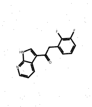 O=C(Cc1cccc(F)c1F)c1c[nH]c2ncccc12